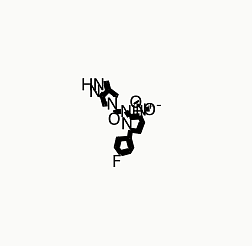 O=C(Nc1nc(-c2ccc(F)cc2)ccc1[N+](=O)[O-])N1Cc2c[nH]nc2C1